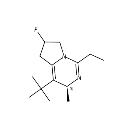 CCC1=N[C@@H](C)C(C(C)(C)C)=C2CC(F)CN12